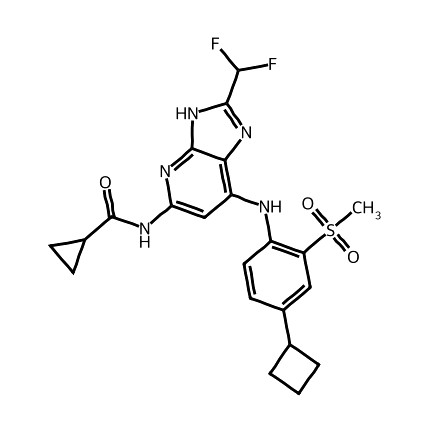 CS(=O)(=O)c1cc(C2CCC2)ccc1Nc1cc(NC(=O)C2CC2)nc2[nH]c(C(F)F)nc12